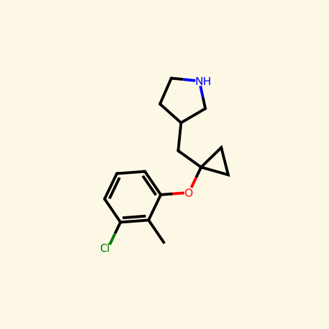 Cc1c(Cl)cccc1OC1(CC2CCNC2)CC1